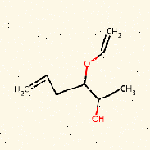 C=CCC(OC=C)C(C)O